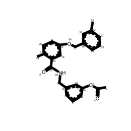 CC(=O)Oc1cccc(CNC(=O)c2cc(OCc3cccc(C)c3)ccc2C)c1